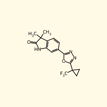 CC1(C)C(=O)Nc2cc(-c3nnc(C4(C(F)(F)F)CC4)o3)ccc21